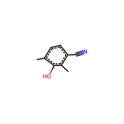 Cc1ccc(C#N)c(C)c1O